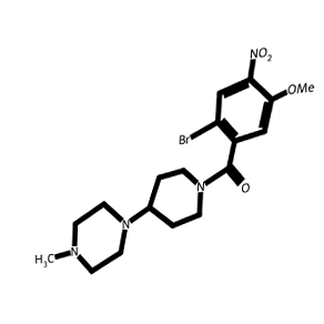 COc1cc(C(=O)N2CCC(N3CCN(C)CC3)CC2)c(Br)cc1[N+](=O)[O-]